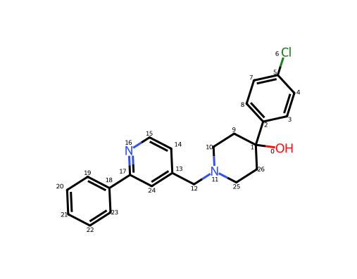 OC1(c2ccc(Cl)cc2)CCN(Cc2ccnc(-c3ccccc3)c2)CC1